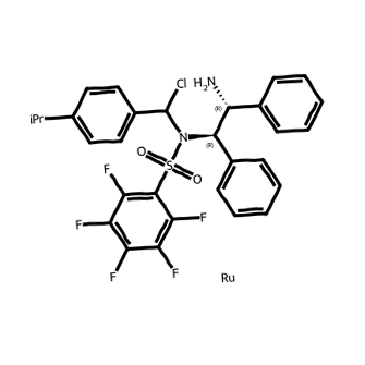 CC(C)c1ccc(C(Cl)N([C@H](c2ccccc2)[C@H](N)c2ccccc2)S(=O)(=O)c2c(F)c(F)c(F)c(F)c2F)cc1.[Ru]